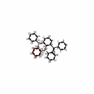 O=C(c1ccccc1)c1cccc(P(c2ccccc2)c2ccccc2)c1P(c1ccccc1)c1ccccc1